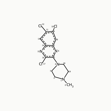 CN1CCN(c2nc3cc(Cl)c(Cl)cc3nc2Cl)CC1